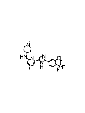 Cc1cc(NC2CCN(C)CC2)nc(-c2cnc(-c3ccc(C(F)(F)F)c(Cl)c3)[nH]2)c1